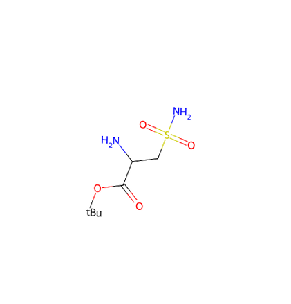 CC(C)(C)OC(=O)C(N)CS(N)(=O)=O